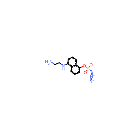 [N-]=[N+]=NS(=O)(=O)Oc1cccc2c(NCCN)cccc12